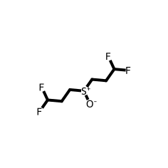 [O-][S+](CCC(F)F)CCC(F)F